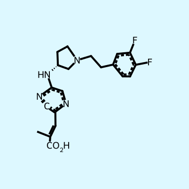 C/C(=C\c1cnc(N[C@@H]2CCN(CCc3ccc(F)c(F)c3)C2)cn1)C(=O)O